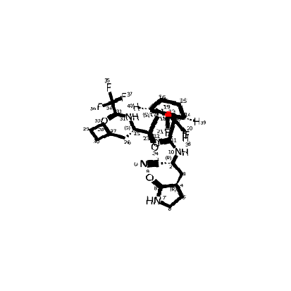 N#C[C@@H](C[C@H]1CCNC1=O)NC(=O)[C@@H]1[C@@H]2CC[C@@H](CC2(F)F)N1C(=O)[C@H](CC1CCC1)NC(=O)C(F)(F)F